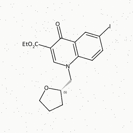 CCOC(=O)c1cn(C[C@@H]2CCCO2)c2ccc(I)cc2c1=O